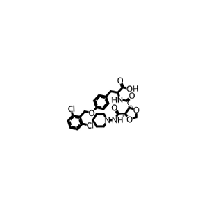 O=C(O)C(Cc1ccc(OCc2c(Cl)cccc2Cl)cc1)NC(=O)[C@@H]1OCO[C@H]1C(=O)NN1CCCCC1